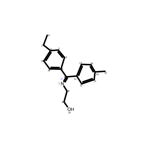 CCc1ccc(/C(=N/CCO)c2ccc(C)cc2)cc1